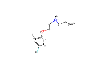 CNCCN(C)CCOc1ccc(F)cc1C